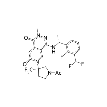 CC(=O)N1CCC(n2cc3c(N[C@H](C)c4cccc(C(F)F)c4F)nn(C)c(=O)c3cc2=O)(C(F)(F)F)C1